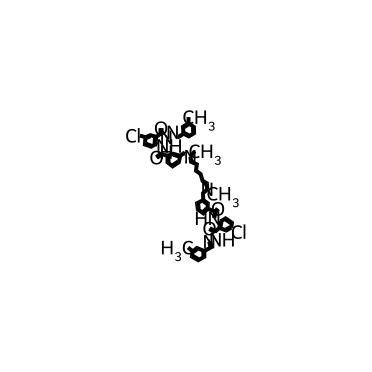 Cc1cccc(C=NNC(=O)c2cc(Cl)ccc2NC(=O)c2cccc(CN(C)CCCCCCN(C)Cc3cccc(C(=O)Nc4ccc(Cl)cc4C(=O)NN=Cc4cccc(C)c4)c3)c2)c1